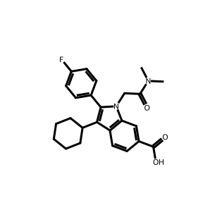 CN(C)C(=O)Cn1c(-c2ccc(F)cc2)c(C2CCCCC2)c2ccc(C(=O)O)cc21